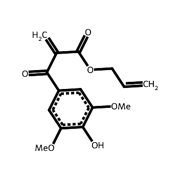 C=CCOC(=O)C(=C)C(=O)c1cc(OC)c(O)c(OC)c1